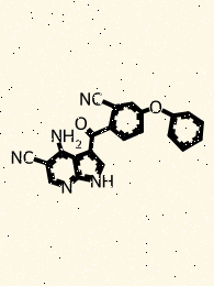 N#Cc1cc(Oc2ccccc2)ccc1C(=O)c1c[nH]c2ncc(C#N)c(N)c12